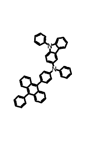 c1ccc(-c2c3ccccc3c(-c3ccc(N(c4ccccc4)c4ccc5c(c4)c4ccccc4n5-c4ccccc4)cc3)c3ccccc23)cc1